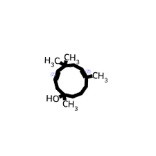 C/C1=C/CC(C)(C)/C=C\CC(C)(O)CCC1